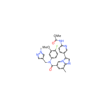 COC(=O)Nc1ccc(-c2cnc3c(C)cc(C(=O)N(Cc4cnn(C)c4)c4ccc(F)c(OC)c4)cn23)cn1